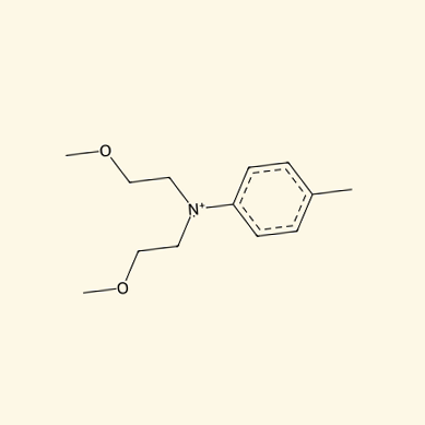 COCC[N+](CCOC)c1ccc(C)cc1